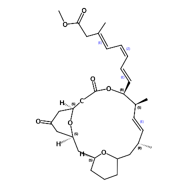 COC(=O)C/C(C)=C/C=C\C=C\[C@@H]1OC(=O)C[C@@H]2CC(=O)C[C@H](C[C@@H]3CCCC(C[C@@H](C)/C=C/[C@@H]1C)O3)O2